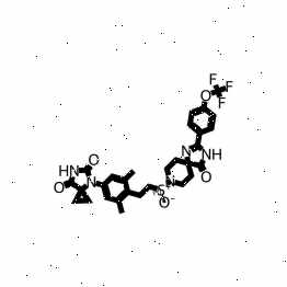 Cc1cc(N2C(=O)NC(=O)C23CC3)cc(C)c1CC[S@+]([O-])N1CCC2(CC1)N=C(c1ccc(OC(F)(F)F)cc1)NC2=O